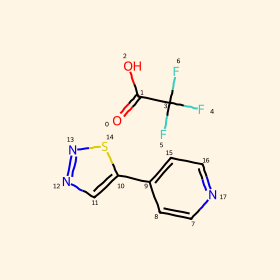 O=C(O)C(F)(F)F.c1cc(-c2cnns2)ccn1